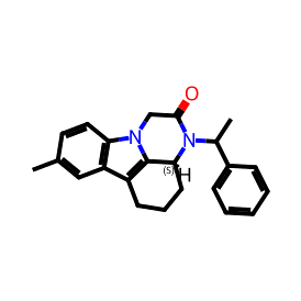 Cc1ccc2c(c1)c1c3n2CC(=O)N(C(C)c2ccccc2)[C@H]3CCC1